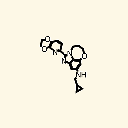 c1cc2c(nc1-c1nc3cc(NCC4CC4)cc4c3n1CCCO4)OCCO2